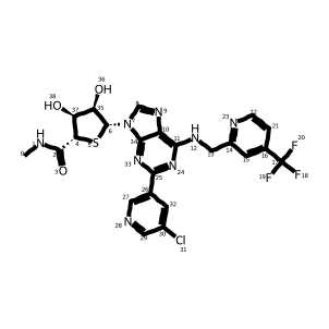 CNC(=O)[C@H]1S[C@@H](n2cnc3c(NCc4cc(C(F)(F)F)ccn4)nc(-c4cncc(Cl)c4)nc32)[C@H](O)[C@@H]1O